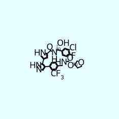 O=C(NCc1ccc(-c2cn[nH]c2-c2c[nH]c(C(=O)N[C@H](CO)c3ccc(F)c(Cl)c3)c2)cc1C(F)(F)F)O[C@H]1CCOC1